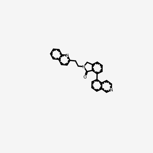 O=C1c2c(cccc2-c2cccc3cnccc23)CN1CCc1ccc2ccccc2n1